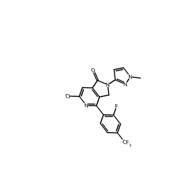 Cn1ccc(N2Cc3c(cc(Cl)nc3-c3ccc(C(F)(F)F)cc3F)C2=O)n1